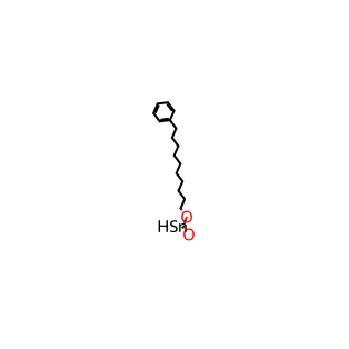 [O]=[SnH][O]CCCCCCCCCCc1ccccc1